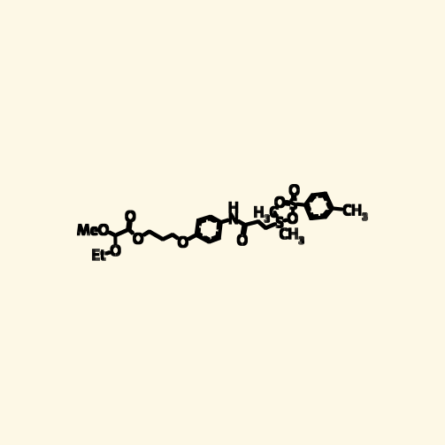 CCOC(OC)C(=O)OCCCOc1ccc(NC(=O)CCS(C)(C)OS(=O)(=O)c2ccc(C)cc2)cc1